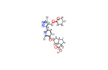 COC(=O)C1(C)CCC2CC(Oc3ccc(-c4nnn(C)c4COC4CCCCO4)nc3C)CC21